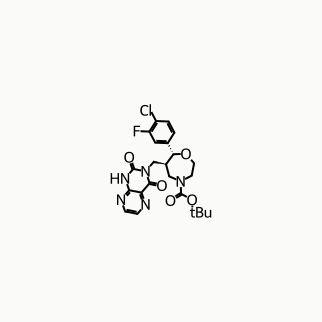 CC(C)(C)OC(=O)N1CCO[C@@H](c2ccc(Cl)c(F)c2)[C@H](Cn2c(=O)[nH]c3nccnc3c2=O)C1